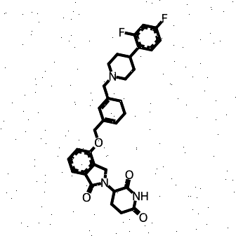 O=C1CCC(N2Cc3c(OCC4=CCCC(CN5CCC(c6ccc(F)cc6F)CC5)=C4)cccc3C2=O)C(=O)N1